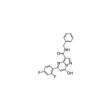 O=C(NCc1ccccc1)c1cnn2c(O)cc(-c3ccc(F)cc3F)nc12